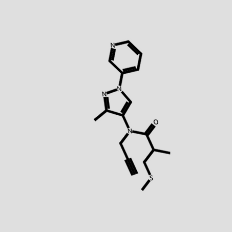 C#CCN(C(=O)C(C)CSC)c1cn(-c2cccnc2)nc1C